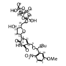 COc1ccc([N+](=O)[O-])c([C@@H](OCc2cn([C@H]3C[C@H](O)[C@@H](COP(=O)(O)OP(=O)(O)OP(=O)(O)O)O3)c(=O)[nH]c2=O)C(C)(C)C)c1